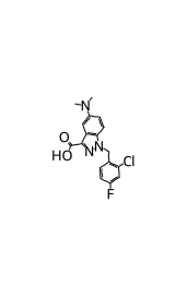 CN(C)c1ccc2c(c1)c(C(=O)O)nn2Cc1ccc(F)cc1Cl